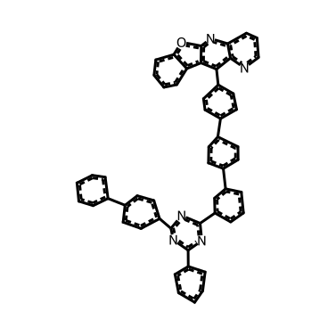 c1ccc(-c2ccc(-c3nc(-c4ccccc4)nc(-c4cccc(-c5ccc(-c6ccc(-c7c8ncccc8nc8oc9ccccc9c78)cc6)cc5)c4)n3)cc2)cc1